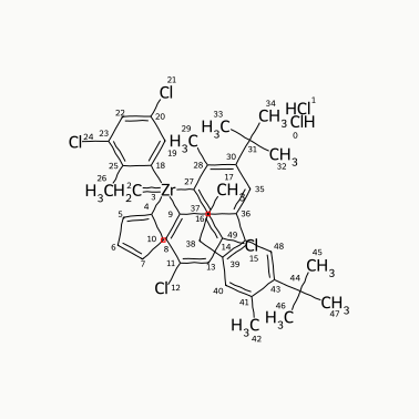 Cl.Cl.[CH2]=[Zr]([C]1=CC=CC1)([c]1cc(Cl)cc(Cl)c1C)([c]1cc(Cl)cc(Cl)c1C)[c]1c(C)c(C(C)(C)C)cc2c1Cc1cc(C)c(C(C)(C)C)cc1-2